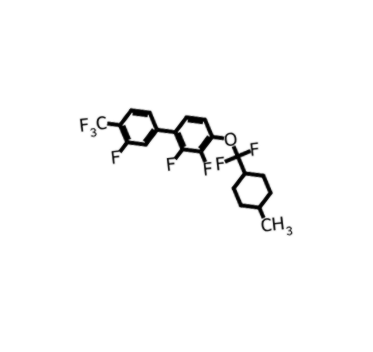 CC1CCC(C(F)(F)Oc2ccc(-c3ccc(C(F)(F)F)c(F)c3)c(F)c2F)CC1